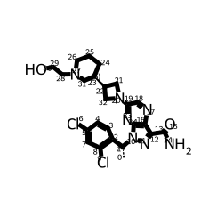 C[C@H](c1ccc(Cl)cc1Cl)n1nc(C(N)=O)c2ncc(N3CC([C@@H]4CCCN(CCO)C4)C3)nc21